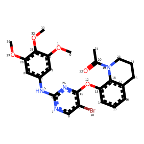 COc1cc(Nc2ncc(Br)c(Oc3cccc4c3N(C(C)=O)CCC4)n2)cc(OC)c1OC